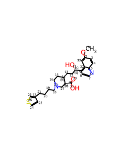 COc1ccc2nccc([C@@H](O)CC[C@@H]3CCN(CCCCc4ccsc4)C[C@@H]3C(=O)O)c2c1